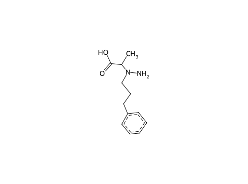 CC(C(=O)O)N(N)CCCc1ccccc1